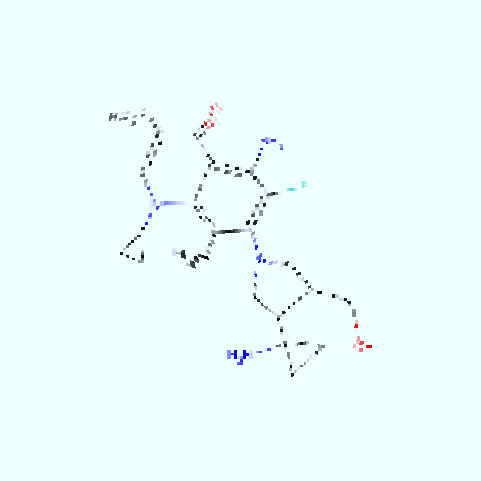 Cc1c(N2CC(CO)C(C3(N)CC3)C2)c(F)c(N)c2c(=O)c(C(=O)O)cn(C3CC3)c12